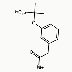 CC(C)(Oc1cccc(CC([NH])=O)c1)S(=O)(=O)O